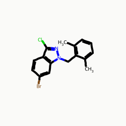 Cc1cccc(C)c1Cn1nc(Cl)c2ccc(Br)cc21